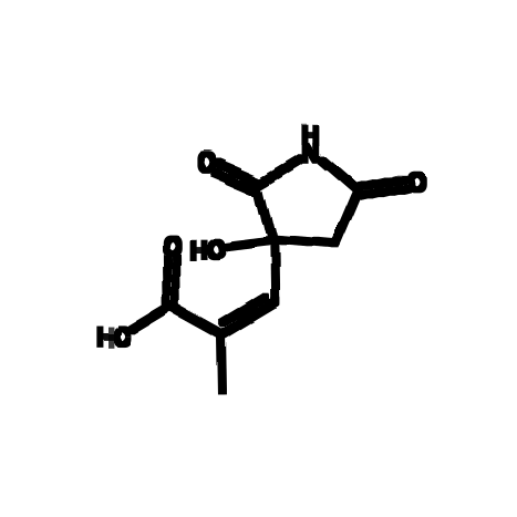 CC(=CC1(O)CC(=O)NC1=O)C(=O)O